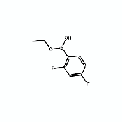 CCOB(O)c1ccc(F)cc1F